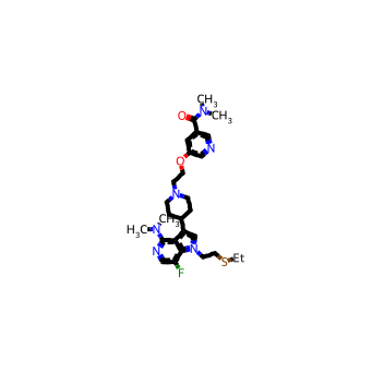 CCSCCn1cc(C2CCN(CCOc3cncc(C(=O)N(C)C)c3)CC2)c2c(N(C)C)ncc(F)c21